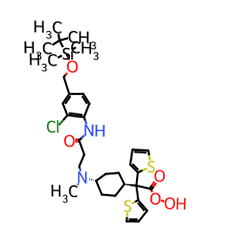 CN(CCC(=O)Nc1ccc(CO[Si](C)(C)C(C)(C)C)cc1Cl)[C@H]1CC[C@H](C(C(=O)OO)(c2cccs2)c2cccs2)CC1